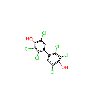 Oc1c(Cl)cc(-c2cc(Cl)c(O)c(Cl)c2Cl)c(Cl)c1Cl